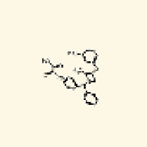 CC1C(Oc2cccc(C(F)(F)F)c2)CN1C(c1ccccc1)c1ccccc1.O=C(O)C(=O)O